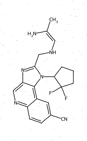 C/C(N)=C/NCc1nc2cnc3ccc(C#N)cc3c2n1C1CCCC1(F)F